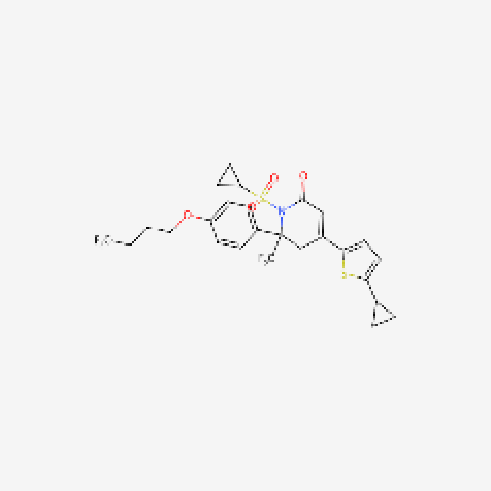 O=C1C=C(c2ccc(C3CC3)s2)CC(c2ccc(OCCCC(F)(F)F)cc2)(C(F)(F)F)N1S(=O)(=O)C1CC1